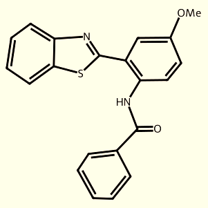 COc1ccc(NC(=O)c2ccccc2)c(-c2nc3ccccc3s2)c1